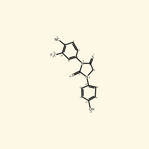 N#Cc1ccc(N2C(=S)CN(c3ccc(O)cc3)C2=S)cc1C(F)(F)F